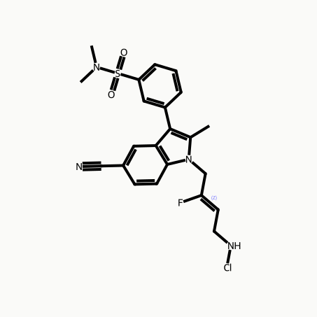 Cc1c(-c2cccc(S(=O)(=O)N(C)C)c2)c2cc(C#N)ccc2n1C/C(F)=C/CNCl